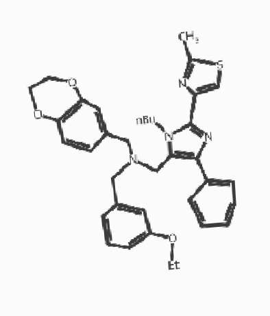 CCCCn1c(-c2csc(C)n2)nc(-c2ccccc2)c1CN(Cc1cccc(OCC)c1)Cc1ccc2c(c1)OCCO2